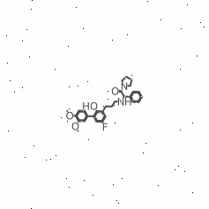 COc1ccc(-c2cc(F)cc(CCCNC(C(=O)N3CCCC3)c3ccccc3)c2O)cc1OC